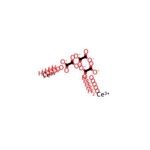 O.O.O.O.O.O.O.O.O.O.O=C([O-])C(=O)[O-].O=C([O-])C(=O)[O-].O=C([O-])C(=O)[O-].[Ce+3].[Ce+3]